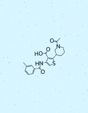 CC(=O)N1CCCC(c2scc(NC(=O)c3cccc(C)c3)c2C(=O)O)C1